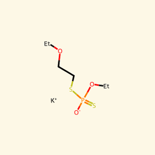 CCOCCSP([O-])(=S)OCC.[K+]